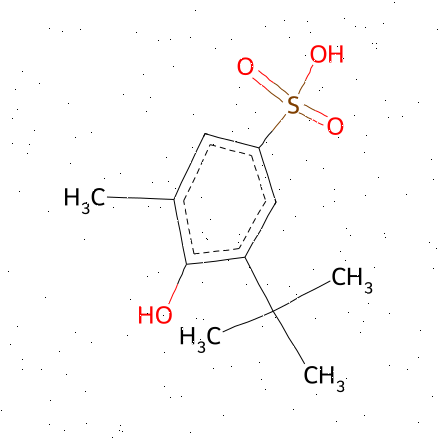 Cc1cc(S(=O)(=O)O)cc(C(C)(C)C)c1O